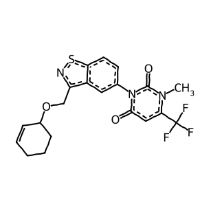 Cn1c(C(F)(F)F)cc(=O)n(-c2ccc3snc(COC4C=CCCC4)c3c2)c1=O